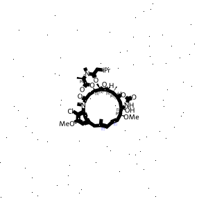 COc1cc2cc(c1Cl)N(C)C(=O)C[C@H](OC(=O)[C@@H](C)N(C)C(=O)CC(C)C)[C@]1(C)O[C@H]1[C@H](C)[C@@H]1C[C@@](O)(NC(=O)O1)[C@H](OC)/C=C/C=C(\C)C2